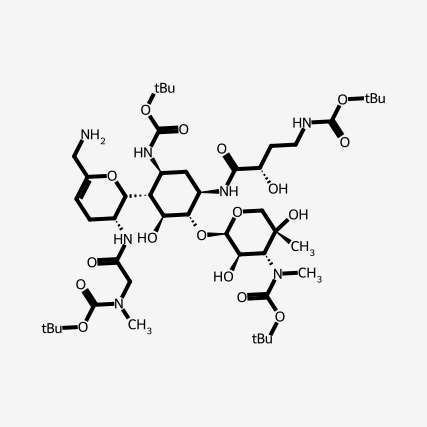 CN(CC(=O)N[C@@H]1CC=C(CN)OC1[C@H]1[C@H](O)[C@@H](O[C@H]2OC[C@](C)(O)[C@H](N(C)C(=O)OC(C)(C)C)[C@H]2O)[C@H](NC(=O)[C@@H](O)CCNC(=O)OC(C)(C)C)C[C@@H]1NC(=O)OC(C)(C)C)C(=O)OC(C)(C)C